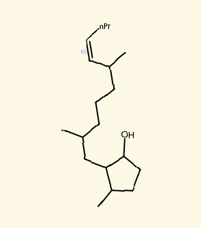 CCC/C=C\C(C)CCCC(C)CC1C(C)CCC1O